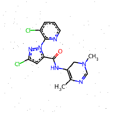 CC1=C(NC(=O)c2cc(Cl)nn2-c2ncccc2Cl)CN(C)C=N1